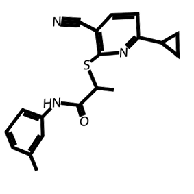 Cc1cccc(NC(=O)C(C)Sc2nc(C3CC3)ccc2C#N)c1